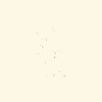 COCCN(C(=O)NCCN1CCCCC1)C(=O)[C@@H]1C[C@@H]2Cc3c(sc(N)c3N)C[C@H]2N(C)C1